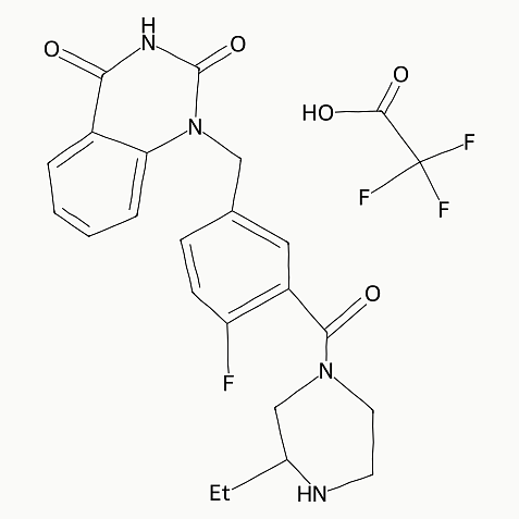 CCC1CN(C(=O)c2cc(Cn3c(=O)[nH]c(=O)c4ccccc43)ccc2F)CCN1.O=C(O)C(F)(F)F